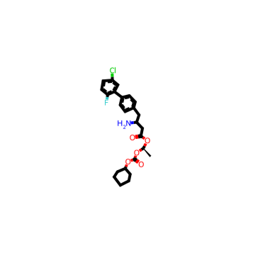 C[C@H](OC(=O)CC(N)Cc1ccc(-c2cc(Cl)ccc2F)cc1)OC(=O)OC1CCCCC1